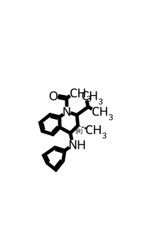 CC(=O)N1c2ccccc2C(Nc2ccccc2)[C@@H](C)C1C(C)C